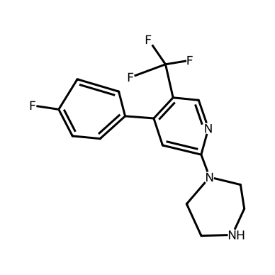 Fc1ccc(-c2cc(N3CCNCC3)ncc2C(F)(F)F)cc1